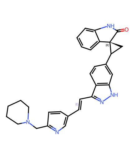 O=C1Nc2ccccc2[C@]12CC2c1ccc2c(/C=C/c3ccc(CN4CCCCC4)nc3)n[nH]c2c1